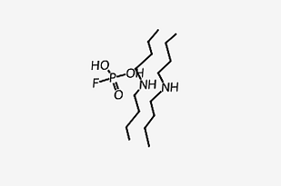 CCCCNCCCC.CCCCNCCCC.O=P(O)(O)F